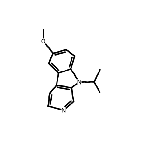 COc1ccc2c(c1)c1ccncc1n2C(C)C